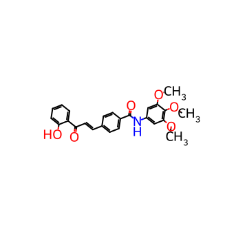 COc1cc(NC(=O)c2ccc(/C=C/C(=O)c3ccccc3O)cc2)cc(OC)c1OC